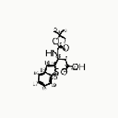 CC(C)(C)OC(=O)NC(CC(=O)O)c1cc2ccccc2s1